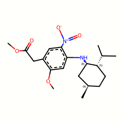 COC(=O)Cc1cc([N+](=O)[O-])c(N[C@@H]2C[C@H](C)CC[C@H]2C(C)C)cc1OC